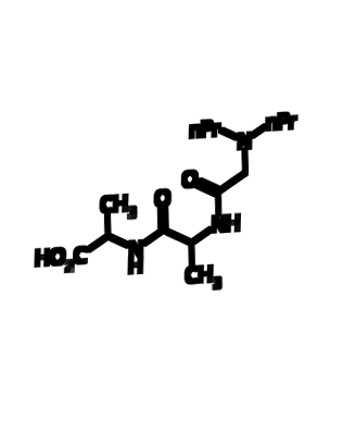 CCCN(CCC)CC(=O)NC(C)C(=O)NC(C)C(=O)O